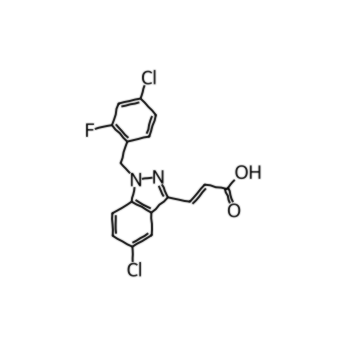 O=C(O)C=Cc1nn(Cc2ccc(Cl)cc2F)c2ccc(Cl)cc12